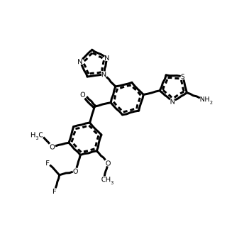 COc1cc(C(=O)c2ccc(-c3csc(N)n3)cc2-n2cncn2)cc(OC)c1OC(F)F